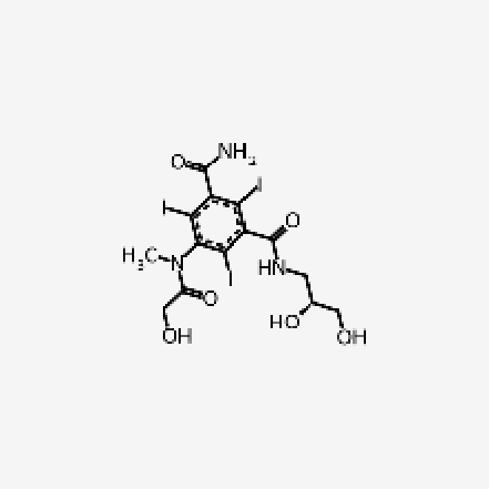 CN(C(=O)CO)c1c(I)c(C(N)=O)c(I)c(C(=O)NC[C@H](O)CO)c1I